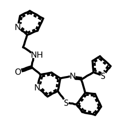 O=C(NCc1ccccn1)c1cc2c(cn1)Sc1ccccc1C(c1cccs1)=N2